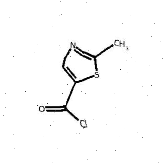 Cc1ncc(C(=O)Cl)s1